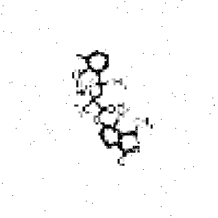 Cc1noc(=O)c2ccc(OC(=O)C(O)(CC(C)(C)c3cccc(F)c3Cl)C(F)(F)F)c(N)c12